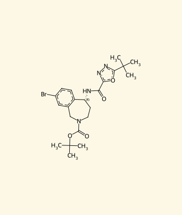 CC(C)(C)OC(=O)N1CC[C@@H](NC(=O)c2nnc(C(C)(C)C)o2)c2ccc(Br)cc2C1